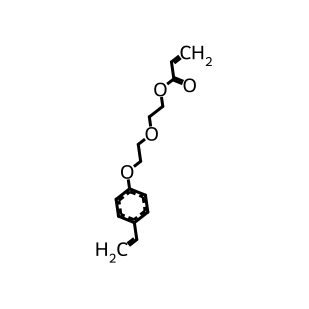 C=CC(=O)OCCOCCOc1ccc(C=C)cc1